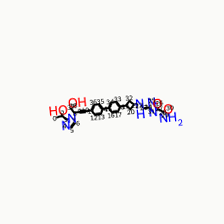 CC(O)c1nccn1C(C#Cc1ccc(-c2ccc(C3CC(NCc4noc(C(N)=O)n4)C3)cc2)cc1)CO